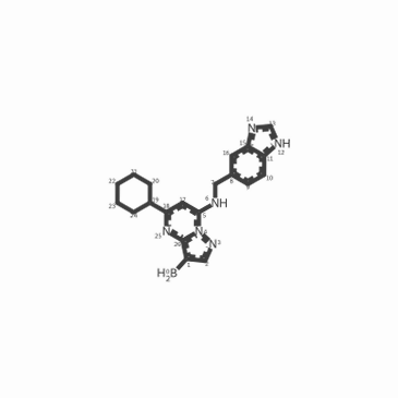 Bc1cnn2c(NCc3ccc4[nH]cnc4c3)cc(C3CCCCC3)nc12